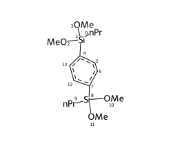 CCC[Si](OC)(OC)c1ccc([Si](CCC)(OC)OC)cc1